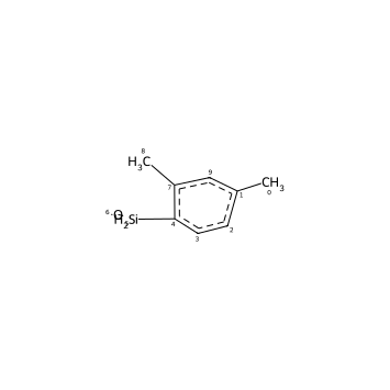 Cc1ccc([SiH2][O])c(C)c1